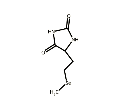 C[Se]CCC1NC(=O)NC1=O